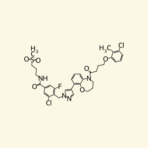 Cc1c(Cl)cccc1OCCCC(=O)N1CCCOc2c(-c3cnn(Cc4c(F)cc(C(=O)NCCCS(C)(=O)=O)cc4Cl)c3)cccc21